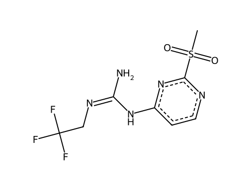 CS(=O)(=O)c1nccc(N/C(N)=N\CC(F)(F)F)n1